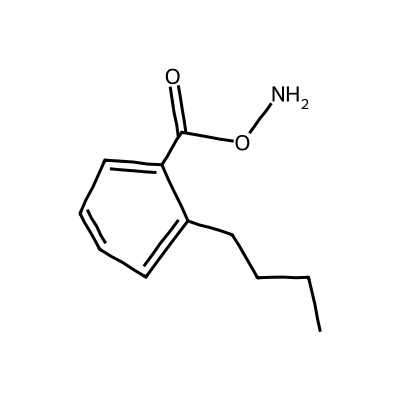 CCCCc1ccccc1C(=O)ON